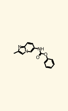 Cc1cn2cc(NC(=O)Oc3ccccc3)ccc2n1